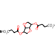 O=C(O)CCC(=O)OC1COC2C(OC(=O)CCC(=O)O)COC12